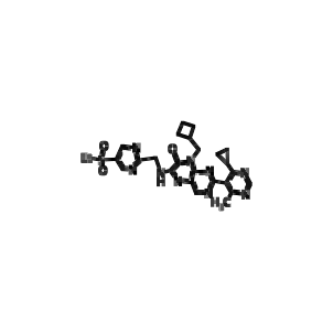 CCS(=O)(=O)c1cnc(CNc2nc3cnc(-c4c(C)ncnc4C4CC4)nc3n(CC3CCC3)c2=O)nc1